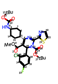 COC(=O)C1=C([C@H]2CC[C@H](NC(=O)OC(C)(C)C)CC2)N=C(c2nccs2)N(C(=O)OC(C)(C)C)C1c1ccc(F)cc1Cl